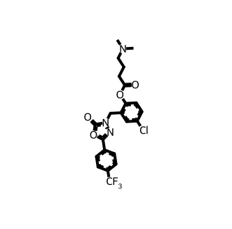 CN(C)CCCC(=O)Oc1ccc(Cl)cc1Cn1nc(-c2ccc(C(F)(F)F)cc2)oc1=O